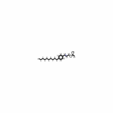 CCCCCCCCCCc1ccc(/C=C/COC(C)=O)cc1